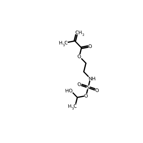 C=C(C)C(=O)OCCNS(=O)(=O)OC(C)O